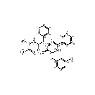 CC(C)[C@H](NC(=O)[C@@H](NC(=O)[C@@H](Cc1cccc(Cl)c1)NC(=O)c1cncnc1)c1ccccc1)C(=O)C(F)(F)F